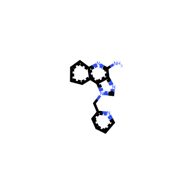 Nc1nc2ccccc2c2c1ncn2Cc1ccccn1